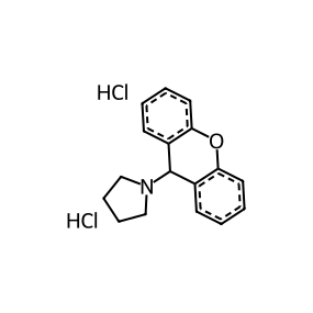 Cl.Cl.c1ccc2c(c1)Oc1ccccc1C2N1CCCC1